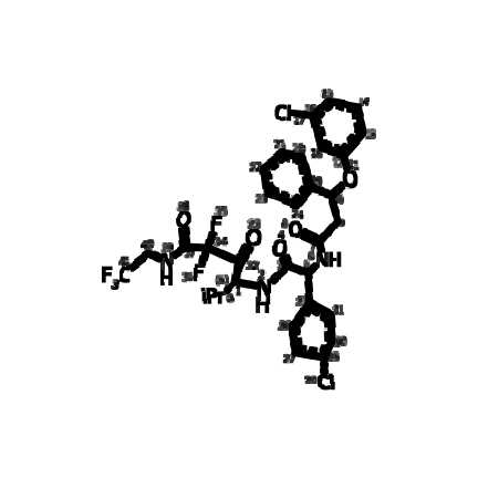 CC(C)[C@H](NC(=O)C(NC(=O)CC(Oc1cccc(Cl)c1)c1ccccc1)c1ccc(Cl)cc1)C(=O)C(F)(F)C(=O)NCC(F)(F)F